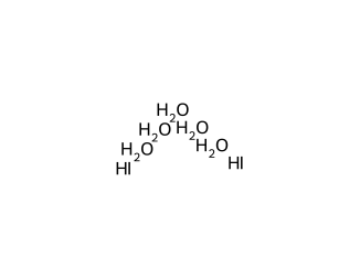 I.I.O.O.O.O.O